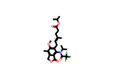 COc1c(C)c2c(c(N(C(=O)C(F)(F)F)C(C)C)c1C/C=C(\C)CCC(=O)OC(C)C)C(=O)OC2